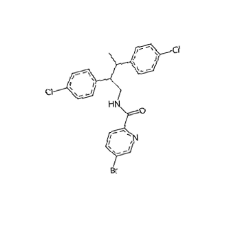 CC(c1ccc(Cl)cc1)C(CNC(=O)c1ccc(Br)cn1)c1ccc(Cl)cc1